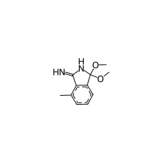 COC1(OC)NC(=N)c2c(C)cccc21